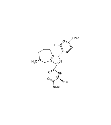 CNC(=O)[C@@H](NC(=O)c1nc(-c2ccc(OC)cc2F)n2c1CN(C)CCC2)C(C)(C)C